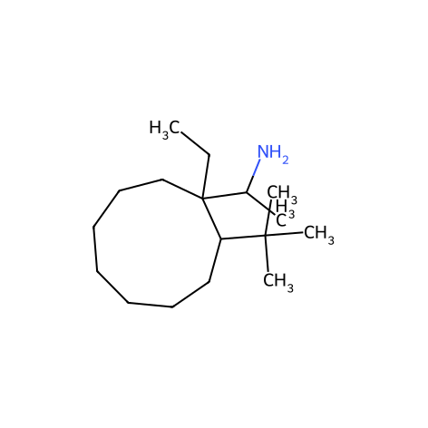 CCC1(C(C)N)CCCCCCCC1C(C)(C)C